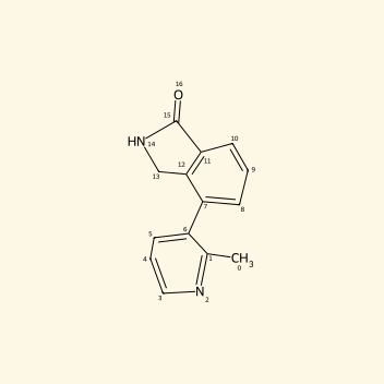 Cc1ncccc1-c1cccc2c1CNC2=O